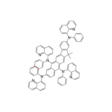 CC1(C)c2cc(N(c3ccccc3)c3cccc4cccnc34)ccc2-c2cc3c(N(c4ccccc4)c4cccc5cccnc45)c4cc(N(c5ccccc5)c5cccc6cccnc56)ccc4c(N(c4ccccc4)c4cccc5cccnc45)c3cc21